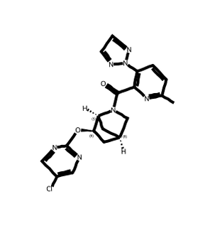 Cc1ccc(-n2nccn2)c(C(=O)N2C[C@H]3C[C@@H](Oc4ncc(Cl)cn4)[C@@H]2C3)n1